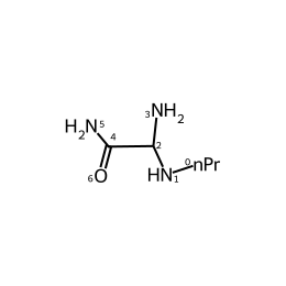 CCCNC(N)C(N)=O